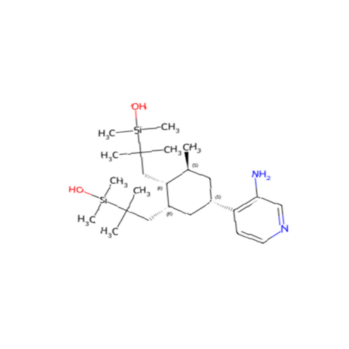 C[C@H]1C[C@H](c2ccncc2N)C[C@H](CC(C)(C)[Si](C)(C)O)[C@@H]1CC(C)(C)[Si](C)(C)O